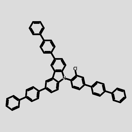 Clc1cc(-c2ccc(-c3ccccc3)cc2)ccc1-n1c2ccc(-c3ccc(-c4ccccc4)cc3)cc2c2cc(-c3ccc(-c4ccccc4)cc3)ccc21